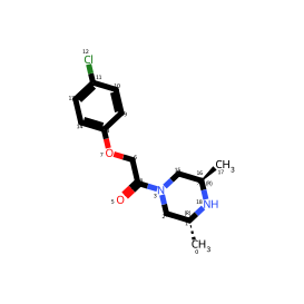 C[C@@H]1CN(C(=O)COc2ccc(Cl)cc2)C[C@@H](C)N1